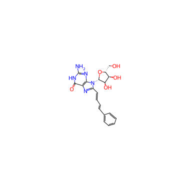 Nc1nc2c(nc(C=CC=Cc3ccccc3)n2[C@@H]2O[C@H](CO)[C@@H](O)[C@H]2O)c(=O)[nH]1